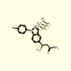 CC(CC(N)=O)c1ccc2c(cnn2-c2ccc(F)cc2)c1.CN.CN.CN